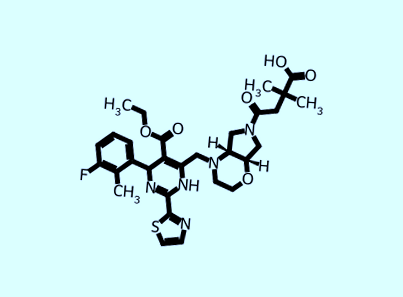 CCOC(=O)C1=C(CN2CCO[C@H]3CN(C(=O)CC(C)(C)C(=O)O)C[C@H]32)NC(c2nccs2)=NC1c1cccc(F)c1C